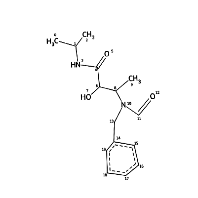 CC(C)NC(=O)C(O)C(C)N(C=O)Cc1ccccc1